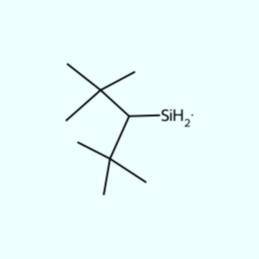 CC(C)(C)C([SiH2])C(C)(C)C